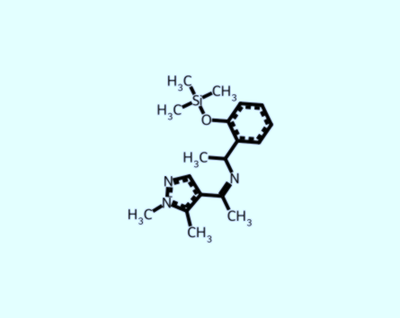 CC(=NC(C)c1ccccc1O[Si](C)(C)C)c1cnn(C)c1C